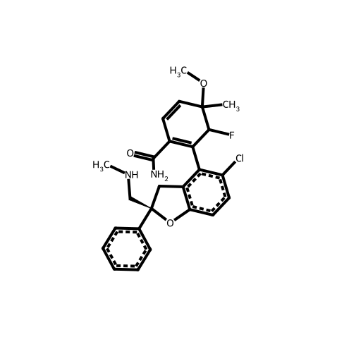 CNC[C@@]1(c2ccccc2)Cc2c(ccc(Cl)c2C2=C(C(N)=O)C=CC(C)(OC)C2F)O1